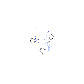 N=C(/N=C\C(=C\NCCc1nc2ccccc2[nH]1)c1cccc(/C=C/C(=O)O)c1)Nc1ccc(F)c(Cl)c1